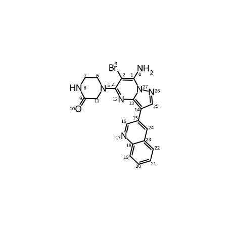 Nc1c(Br)c(N2CCNC(=O)C2)nc2c(-c3cnc4ccccc4c3)cnn12